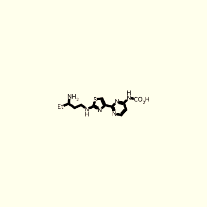 CCC(N)CCNc1nc(-c2nccc(NC(=O)O)n2)cs1